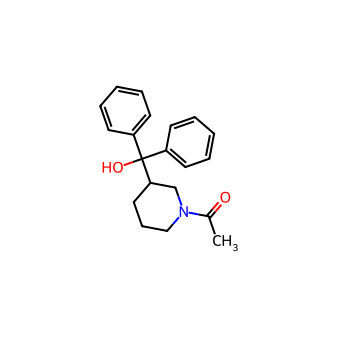 CC(=O)N1CCCC(C(O)(c2ccccc2)c2ccccc2)C1